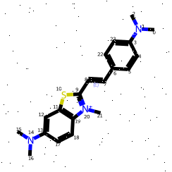 CN(C)c1ccc(/C=C/c2sc3cc(N(C)C)ccc3[n+]2C)cc1